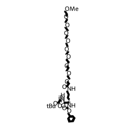 COCCOCCOCCOCCOCCOCCOCCOCCOCCOCC(=O)NCCCC[C@H](NC(=O)OCc1ccccc1)C(=O)N[C@H](C(=O)OC(C)(C)C)C(C)C